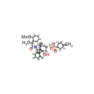 COc1ccccc1[C@H](C)C(=O)N1C[C@@H]2C[C@H](COS(=O)(=O)c3ccc(C)cc3)C[C@@](O)(c3ccccc3F)[C@@H]2C1